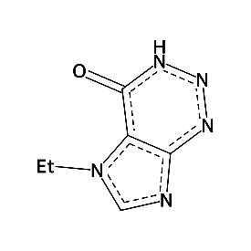 CCn1cnc2nn[nH]c(=O)c21